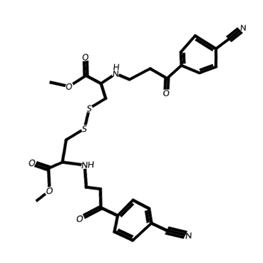 COC(=O)C(CSSCC(NCCC(=O)c1ccc(C#N)cc1)C(=O)OC)NCCC(=O)c1ccc(C#N)cc1